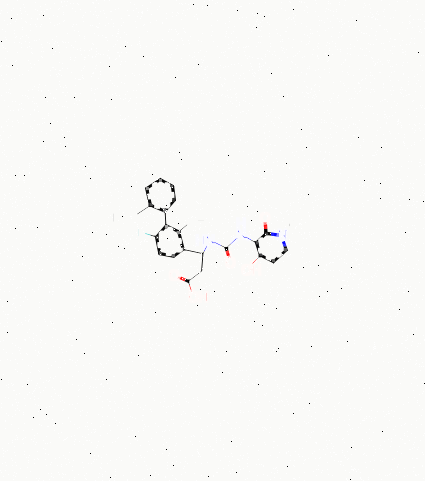 Cc1ccccc1-c1c(F)ccc(C(CC(=O)O)NC(=O)Nc2c(O)ccn(C)c2=O)c1C